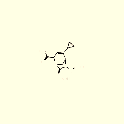 NC(=O)C1C=C(C2CC2)C2CN1C(=O)N2OS(=O)(=O)O.[NaH]